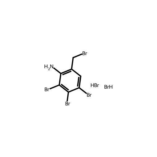 Br.Br.Nc1c(CBr)cc(Br)c(Br)c1Br